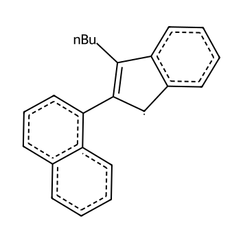 CCCCC1=C(c2cccc3ccccc23)[CH]c2ccccc21